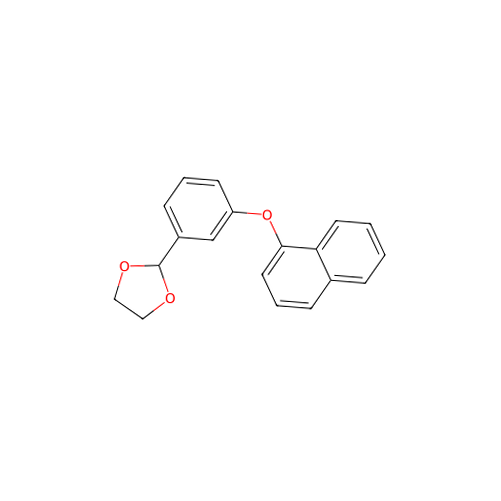 c1cc(Oc2cccc3ccccc23)cc(C2OCCO2)c1